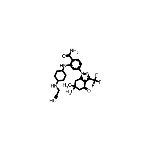 C#CCNC1CCC(Nc2cc(-n3nc(C(F)(F)F)c4c3CC(C)(C)CC4=O)ccc2C(N)=O)CC1